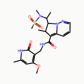 COc1cc(C)[nH]c(=O)c1CNC(=O)C1=C2C=CC=NN2C(C(C)N(C)S(C)(=O)=O)C1C